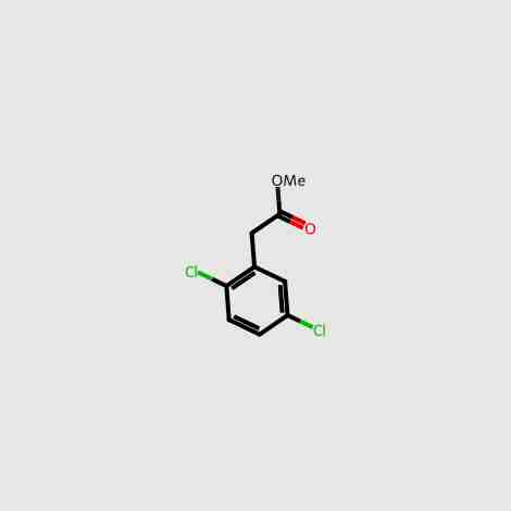 COC(=O)Cc1cc(Cl)ccc1Cl